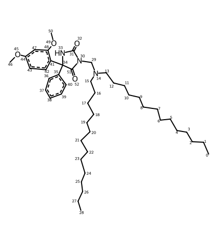 CCCCCCCCCCCCCCN(CCCCCCCCCCCCCC)CN1C(=O)NC(c2ccccc2)(c2ccc(OC)cc2OC)C1=O